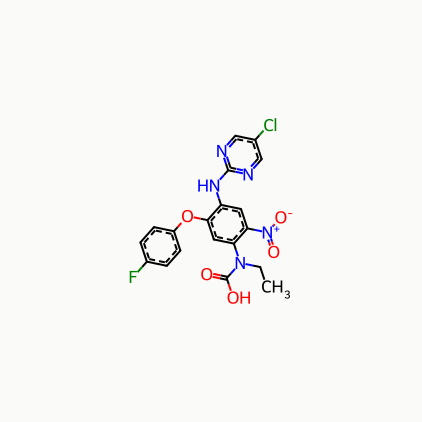 CCN(C(=O)O)c1cc(Oc2ccc(F)cc2)c(Nc2ncc(Cl)cn2)cc1[N+](=O)[O-]